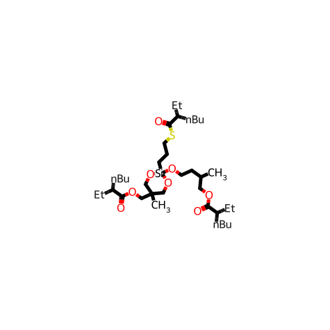 CCCCC(CC)C(=O)OCC(C)CCO[Si]1(CCCSC(=O)C(CC)CCCC)OCC(C)(COC(=O)C(CC)CCCC)CO1